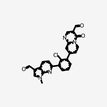 Cn1cc(C=O)c2ccc(-c3cccc(-c4ccn5c(=O)c(C=O)cnc5c4)c3Cl)nc21